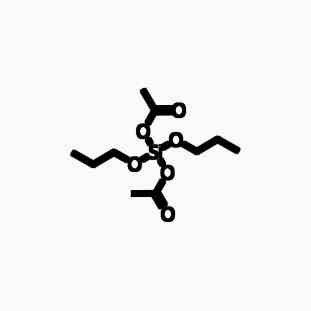 CCCO[Si](OCCC)(OC(C)=O)OC(C)=O